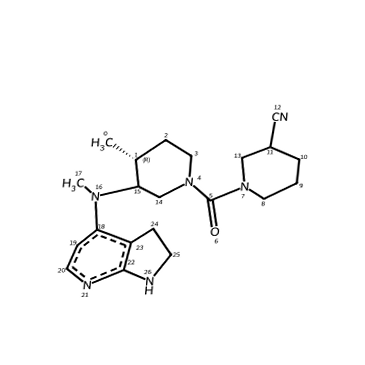 C[C@@H]1CCN(C(=O)N2CCCC(C#N)C2)CC1N(C)c1ccnc2c1CCN2